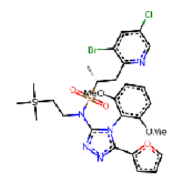 COc1cccc(OC)c1-n1c(-c2ccco2)nnc1N(CC[Si](C)(C)C)S(=O)(=O)[C@H](C)Cc1ncc(Cl)cc1Br